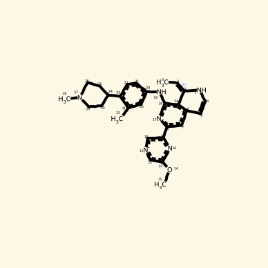 C/C=C1/NC=Cc2cc(-c3cncc(OC)n3)nc(Nc3ccc(C4CCN(C)CC4)c(C)c3)c21